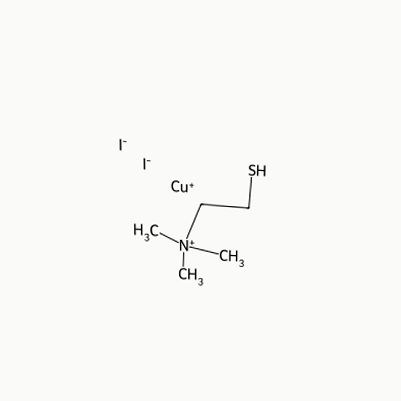 C[N+](C)(C)CCS.[Cu+].[I-].[I-]